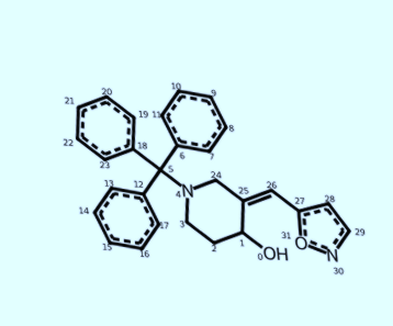 OC1CCN(C(c2ccccc2)(c2ccccc2)c2ccccc2)CC1=Cc1ccno1